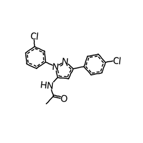 CC(=O)Nc1cc(-c2ccc(Cl)cc2)nn1-c1cccc(Cl)c1